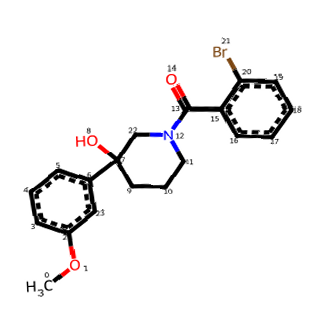 COc1cccc(C2(O)CCCN(C(=O)c3ccccc3Br)C2)c1